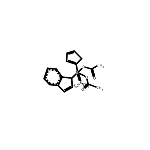 CC(=O)[O][Ti]([O]C(C)=O)([C]1=CC=CC1)([CH]1C=Cc2ccccc21)=[Si](C)C